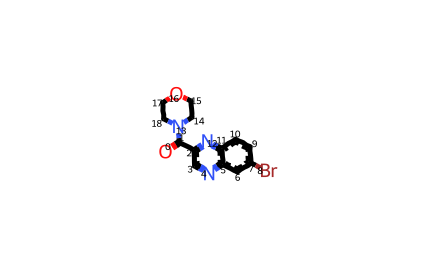 O=C(c1cnc2cc(Br)ccc2n1)N1CCOCC1